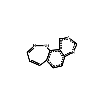 C1=Cc2ccc3ncncc3c2NN=C1